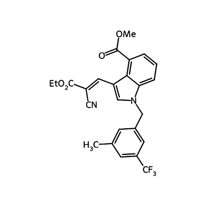 CCOC(=O)/C(C#N)=C/c1cn(Cc2cc(C)cc(C(F)(F)F)c2)c2cccc(C(=O)OC)c12